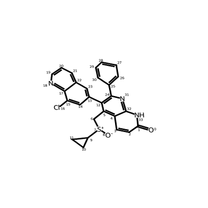 O=c1ccc2c(C[S+]([O-])C3CC3)c(-c3cc(Cl)c4ncccc4c3)c(-c3ccccc3)nc2[nH]1